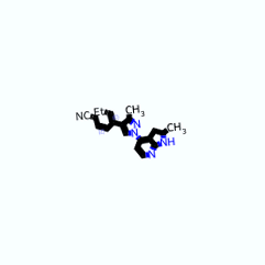 CC/C=C(\C=C/CC#N)c1cn(-c2ccnc3c2CC(C)N3)nc1C